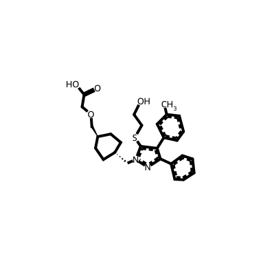 Cc1cccc(-c2c(-c3ccccc3)nn(C[C@H]3CC[C@H](COCC(=O)O)CC3)c2SCCO)c1